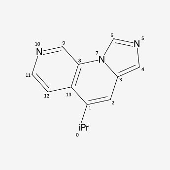 CC(C)c1cc2cncn2c2cnccc12